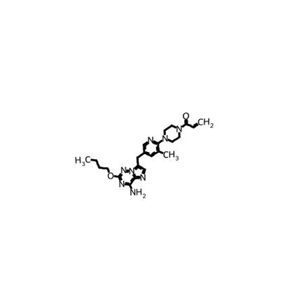 C=CC(=O)N1CCN(c2ncc(Cc3cnc4c(N)nc(OCCCC)nn34)cc2C)CC1